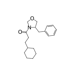 O=C(CCC1CCCCC1)N1COCC1Cc1ccccc1